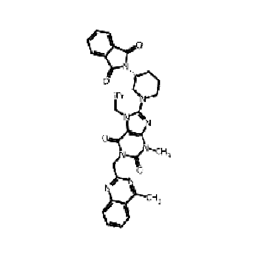 Cc1nc(Cn2c(=O)c3c(nc(N4CCC[C@@H](N5C(=O)c6ccccc6C5=O)C4)n3CC(C)C)n(C)c2=O)nc2ccccc12